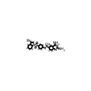 CN(Cc1ccc(S(=O)(=O)n2cc(Br)c3ccccc32)cc1)c1ccc2nc(N)nc(N)c2c1